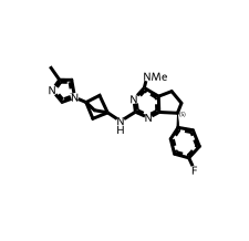 CNc1nc(NC23CC(n4cnc(C)c4)(C2)C3)nc2c1CC[C@H]2c1ccc(F)cc1